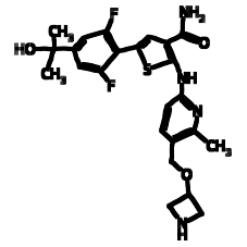 Cc1nc(Nc2sc(-c3c(F)cc(C(C)(C)O)cc3F)cc2C(N)=O)ccc1COC1CNC1